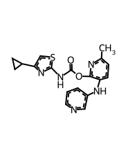 Cc1ccc(Nc2cccnc2)c(OC(=O)Nc2nc(C3CC3)cs2)n1